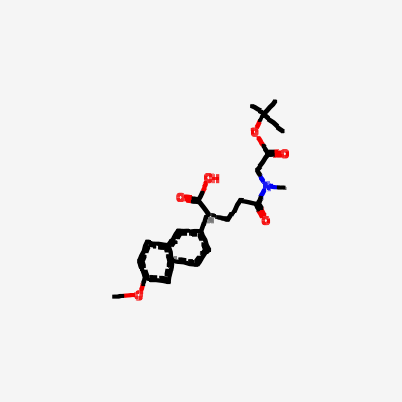 COc1ccc2cc([C@H](CCC(=O)N(C)CC(=O)OC(C)(C)C)C(=O)O)ccc2c1